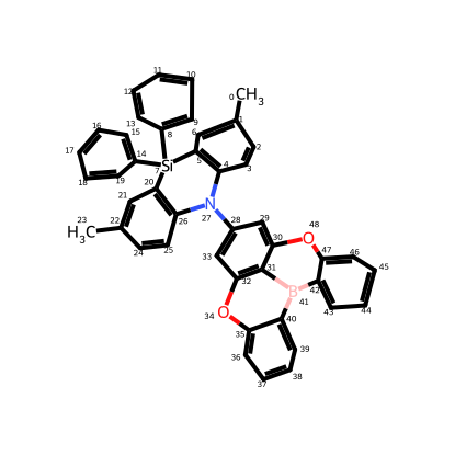 Cc1ccc2c(c1)[Si](c1ccccc1)(c1ccccc1)c1cc(C)ccc1N2c1cc2c3c(c1)Oc1ccccc1B3c1ccccc1O2